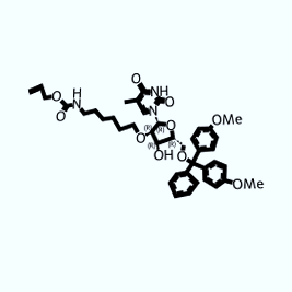 C=CCOC(=O)NCCCCCCO[C@@H]1[C@H](O)[C@@H](COC(c2ccccc2)(c2ccc(OC)cc2)c2ccc(OC)cc2)O[C@H]1n1cc(C)c(=O)[nH]c1=O